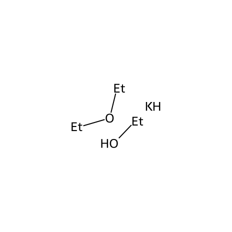 CCO.CCOCC.[KH]